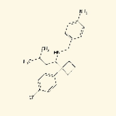 CC(C)CC(NCc1ccc(N)cc1)C1(c2ccc(Cl)cc2)CCC1